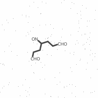 O=CCCC(CCC=O)N=O